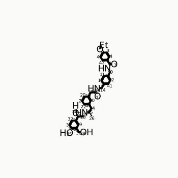 CCOc1ccc(C(=O)NCc2ccc(CNC(=O)Cc3cccc(C[C@@H](C)NC[C@H](O)c4ccc(O)c(CO)c4)c3)cc2)cc1